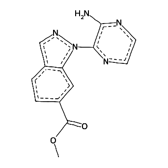 COC(=O)c1ccc2cnn(-c3nccnc3N)c2c1